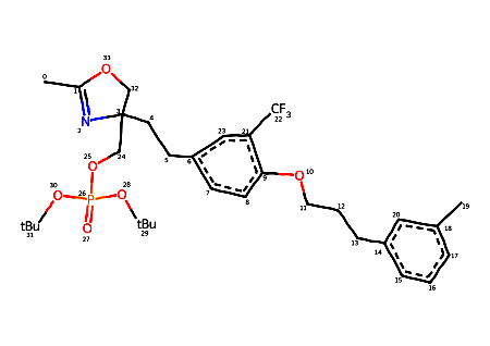 CC1=NC(CCc2ccc(OCCCc3cccc(C)c3)c(C(F)(F)F)c2)(COP(=O)(OC(C)(C)C)OC(C)(C)C)CO1